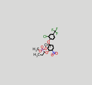 CCC(Oc1cc(Oc2ccc(C(F)(F)F)cc2Cl)ccc1[N+](=O)[O-])P(=O)(OC)OC